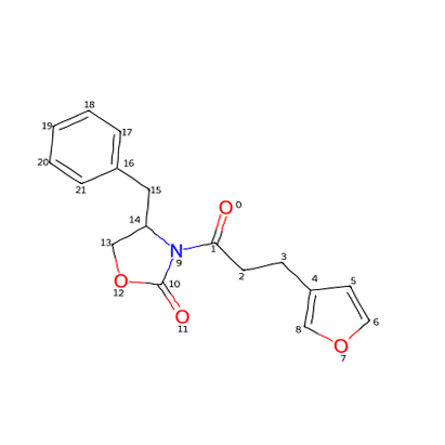 O=C(CCc1ccoc1)N1C(=O)OCC1Cc1ccccc1